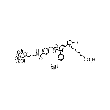 O=C(O)CCCCCCN1C(=O)CC[C@@H]1/C=C/[C@@H](OC(=O)Cc1ccc(C(=O)NCCCCCC(O)(P(=O)([O-])O)P(=O)([O-])O)cc1)C(F)(F)c1ccccc1.[Na+].[Na+]